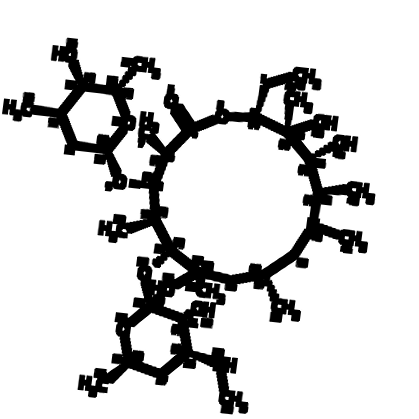 CC[C@H]1OC(=O)[C@H](C)[C@@H](O[C@H]2CC(C)[C@@H](O)[C@H](C)O2)[C@H](C)[C@@H](O[C@@H]2O[C@H](C)C[C@H](NC)[C@H]2O)[C@](C)(O)C[C@@H](C)CN(C)[C@H](C)[C@@H](O)[C@]1(C)O